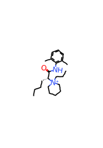 CCCC[C@H](C(=O)Nc1c(C)cccc1C)[N+]1(CCC)CCCCC1